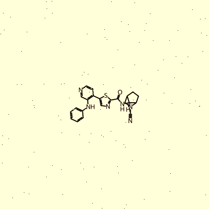 N#CN1CC2CCC1[C@@H]2NC(=O)c1ncc(-c2ccncc2Nc2ccccc2)s1